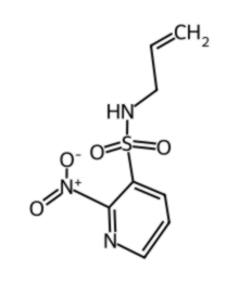 C=CCNS(=O)(=O)c1cccnc1[N+](=O)[O-]